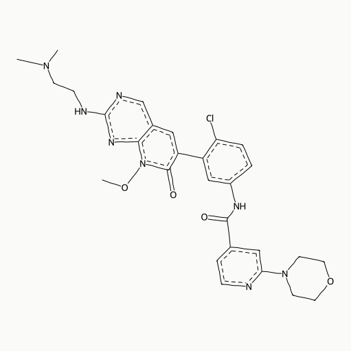 COn1c(=O)c(-c2cc(NC(=O)c3ccnc(N4CCOCC4)c3)ccc2Cl)cc2cnc(NCCN(C)C)nc21